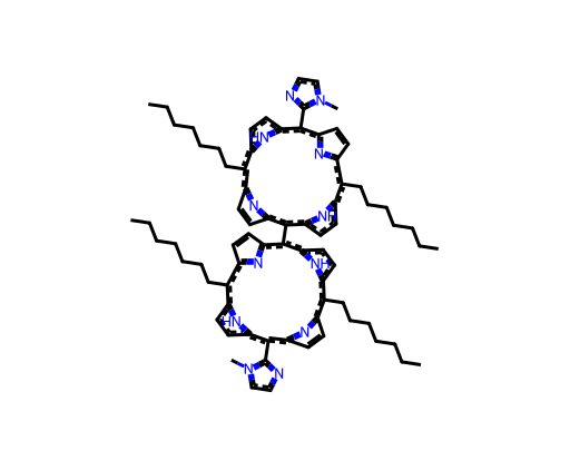 CCCCCCCc1c2nc(c(-c3nccn3C)c3ccc([nH]3)c(CCCCCCC)c3nc(c(-c4c5nc(c(CCCCCCC)c6ccc([nH]6)c(-c6nccn6C)c6nc(c(CCCCCCC)c7ccc4[nH]7)C=C6)C=C5)c4ccc1[nH]4)C=C3)C=C2